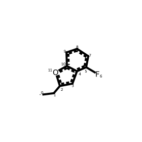 [CH2]Cc1cc2c(F)cccc2o1